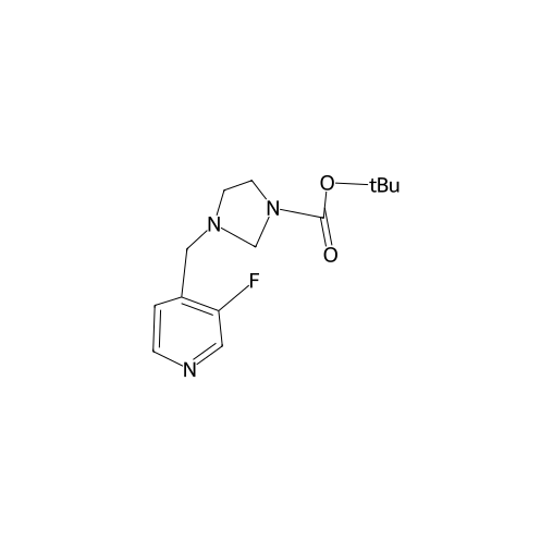 CC(C)(C)OC(=O)N1CCN(Cc2ccncc2F)C1